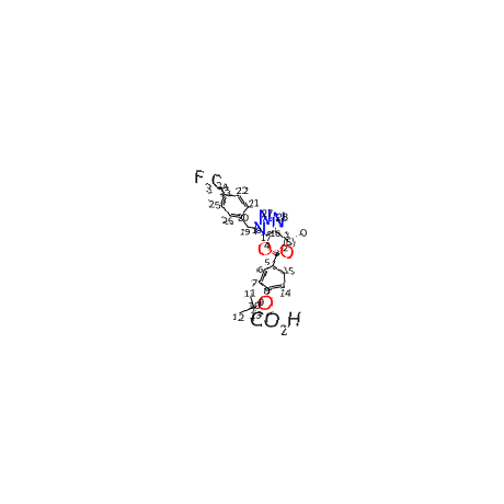 C[C@H](OC(=O)c1ccc(OC(C)(C)C(=O)O)cc1)c1cn(Cc2ccc(C(F)(F)F)cc2)nn1